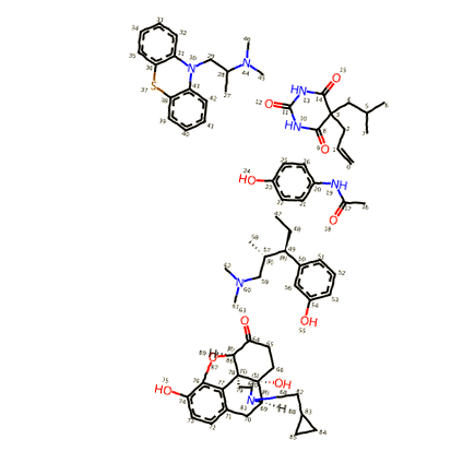 C=CCC1(CC(C)C)C(=O)NC(=O)NC1=O.CC(=O)Nc1ccc(O)cc1.CC(CN1c2ccccc2Sc2ccccc21)N(C)C.CC[C@@H](c1cccc(O)c1)[C@@H](C)CN(C)C.O=C1CC[C@@]2(O)[C@H]3Cc4ccc(O)c5c4[C@@]2(CCN3CC2CC2)[C@H]1O5